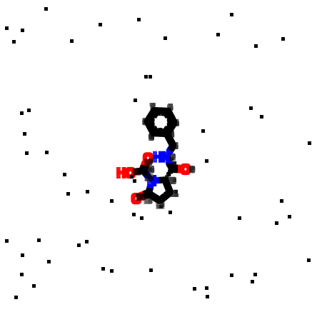 O=C(NCc1ccccc1)[C@@H]1CCC(=O)N1C(=O)O